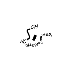 C=C.CCCCCCOCCCCCC.OCCO